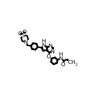 C=CC(=O)Nc1cccc(Oc2ncnc3[nH]c(-c4ccc(CN5CCS(=O)(=O)CC5)cc4)cc23)c1